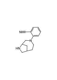 N#Cc1ccccc1N1CCC2CNC(C2)C1